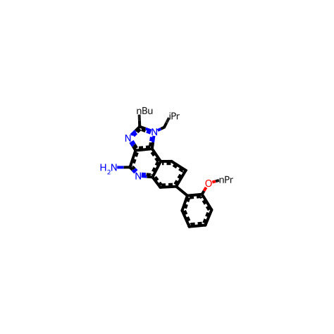 CCCCc1nc2c(N)nc3cc(-c4ccccc4OCCC)ccc3c2n1CC(C)C